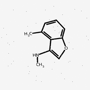 CNc1coc2cccc(C)c12